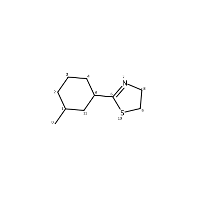 CC1CCCC(C2=N[CH]CS2)C1